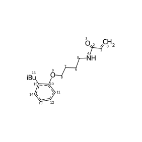 C=CC(=O)NCCCCOc1ccccc1C(C)CC